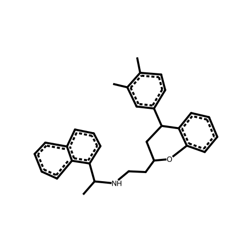 Cc1ccc(C2CC(CCNC(C)c3cccc4ccccc34)Oc3ccccc32)cc1C